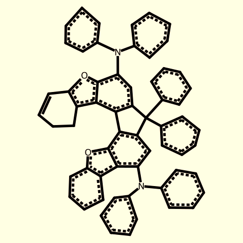 C1=Cc2oc3c(N(c4ccccc4)c4ccccc4)cc4c(c3c2CC1)-c1c(cc(N(c2ccccc2)c2ccccc2)c2c1oc1ccccc12)C4(c1ccccc1)c1ccccc1